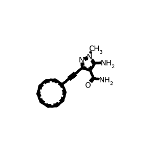 Cn1nc(C#Cc2ccccccccc2)c(C(N)=O)c1N